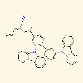 C=C/C=C(C#N)\C=C(/C)c1ccc(-c2cccc(-n3c4ccccc4c4ccccc43)c2)c(-n2c3ccccc3c3ccccc32)c1